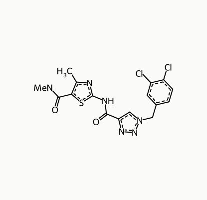 CNC(=O)c1sc(NC(=O)c2cn(Cc3ccc(Cl)c(Cl)c3)nn2)nc1C